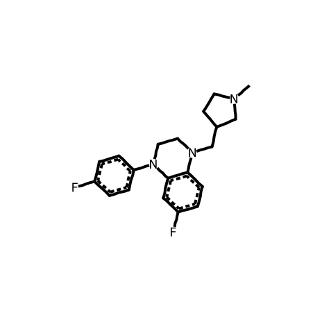 CN1CCC(CN2CCN(c3ccc(F)cc3)c3cc(F)ccc32)C1